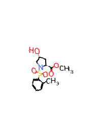 COC(=O)[C@@H]1C[C@@H](O)CN1S(=O)(=O)c1ccccc1C